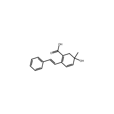 CC1(O)C=CC(C=Cc2ccccc2)=C(C(=O)O)C1